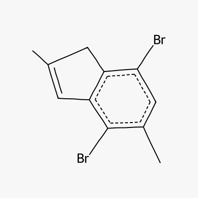 CC1=Cc2c(Br)c(C)cc(Br)c2C1